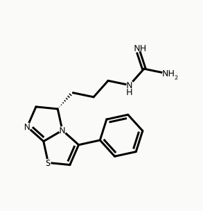 N=C(N)NCCC[C@H]1CN=C2SC=C(c3ccccc3)N21